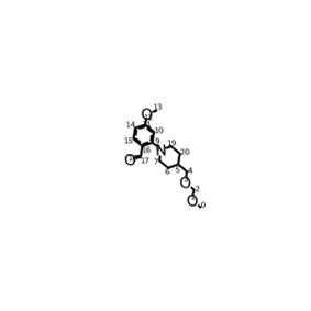 COCOCC1CCN(c2cc(OC)ccc2C=O)CC1